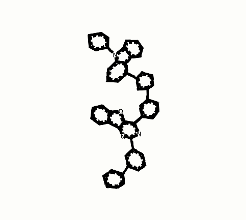 c1ccc(-c2cccc(-c3nc(-c4cccc(-c5cccc(-c6cccc7c6c6ccccc6n7-c6ccccc6)c5)c4)c4oc5ccccc5c4n3)c2)cc1